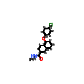 CC(C)NC(=O)c1ccc2c(Oc3ccc(Cl)cc3)cccc2c1